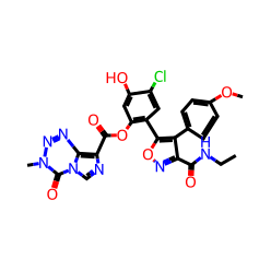 CCNC(=O)c1noc(-c2cc(Cl)c(O)cc2OC(=O)c2ncn3c(=O)n(C)nnc23)c1-c1ccc(OC)cc1